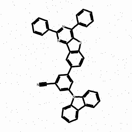 N#Cc1cc(-c2ccc3sc4c(-c5ccccc5)nc(-c5ccccc5)nc4c3c2)cc(-n2c3ccccc3c3ccccc32)c1